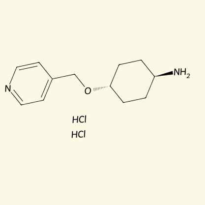 Cl.Cl.N[C@H]1CC[C@H](OCc2ccncc2)CC1